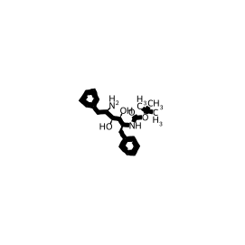 CC(C)(C)OC(=O)N[C@@H](Cc1ccccc1)[C@@H](O)[C@H](O)[C@@H](N)Cc1ccccc1